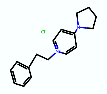 [Cl-].c1ccc(CC[n+]2ccc(N3CCCC3)cc2)cc1